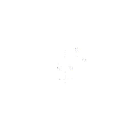 CCc1nc(C(C)(C)C)nc2c(Cl)nccc12